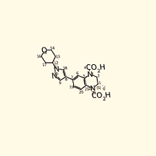 C[C@H]1CN(C(=O)O)c2cc(-c3cnn(C4CCOCC4)c3)ccc2N1C(=O)O